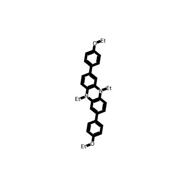 CCOc1ccc(-c2ccc3c(c2)N(CC)c2ccc(-c4ccc(OCC)cc4)cc2N3CC)cc1